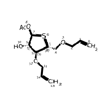 C=CCOC[C@H]1SC(OC(C)=O)[C@@H](O)[C@@H]1OCC=C